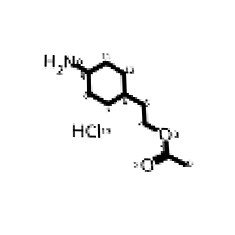 CC(=O)OCCC1CCC(N)CC1.Cl